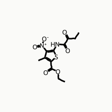 CCOC(=O)c1sc(NC(=O)C(=O)CC)c([N+](=O)[O-])c1C